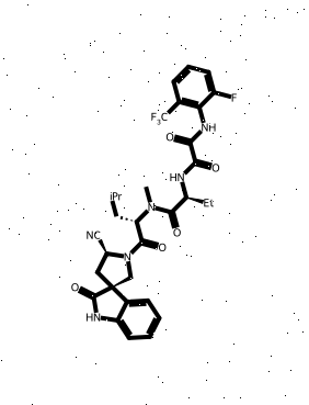 CC[C@H](NC(=O)C(=O)Nc1c(F)cccc1C(F)(F)F)C(=O)N(C)[C@@H](CC(C)C)C(=O)N1C[C@]2(C[C@H]1C#N)C(=O)Nc1ccccc12